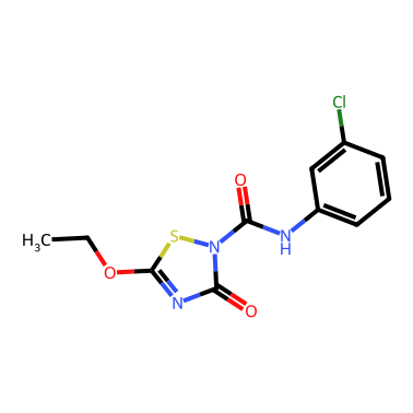 CCOc1nc(=O)n(C(=O)Nc2cccc(Cl)c2)s1